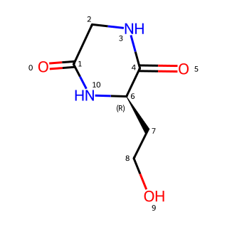 O=C1CNC(=O)[C@@H](CCO)N1